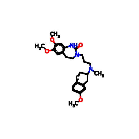 COc1ccc2c(c1)CC(N(C)CCCN1CCc3cc(OC)c(OC)cc3NC1=O)CC2